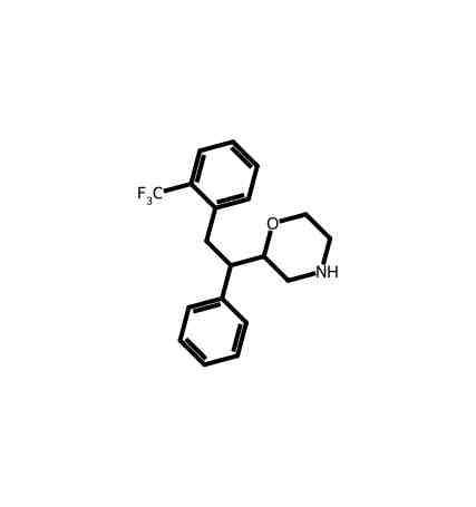 FC(F)(F)c1ccccc1CC(c1ccccc1)C1CNCCO1